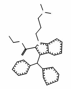 CCOC(=O)c1c(C(c2ccccc2)c2ccccc2)c2ccccc2n1CCCN(C)C